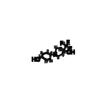 Oc1ccc(N2CCC(O)(C(F)(F)F)CC2)cc1